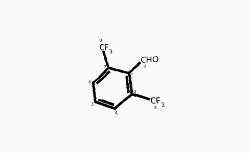 O=Cc1c(C(F)(F)F)cccc1C(F)(F)F